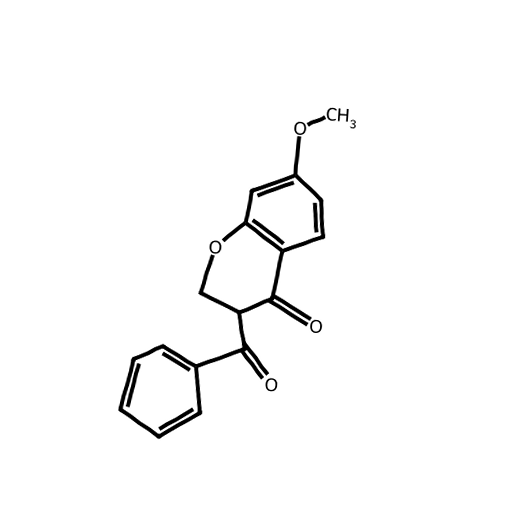 COc1ccc2c(c1)OCC(C(=O)c1ccccc1)C2=O